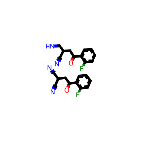 N#CC(C#N)CC(=O)c1ccccc1F.N#CC(C=N)CC(=O)c1ccccc1F